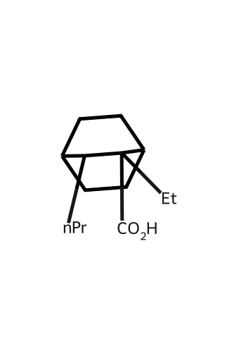 CCCC1C2CCC(CC2)C1(CC)C(=O)O